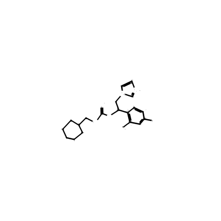 S=C(OCC1CCCCC1)SC(Cn1ccnc1)c1ccc(Cl)cc1Cl